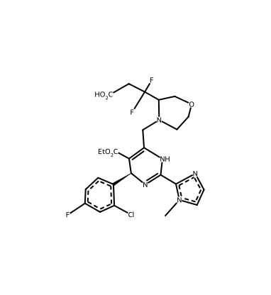 CCOC(=O)C1=C(CN2CCOCC2C(F)(F)CC(=O)O)NC(c2nccn2C)=N[C@H]1c1ccc(F)cc1Cl